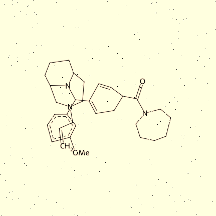 C=CCN1CCC2CCCC(C1)N2C(C1=CCC(C(=O)N2CCCCCC2)C=C1)c1cccc(OC)c1